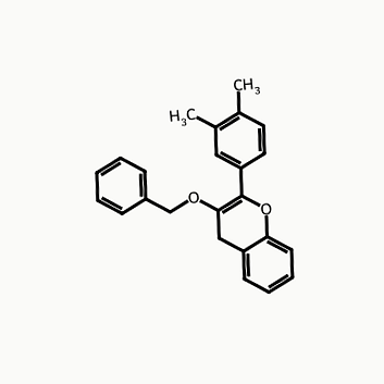 Cc1ccc(C2=C(OCc3ccccc3)Cc3ccccc3O2)cc1C